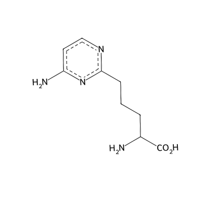 Nc1ccnc(CCCC(N)C(=O)O)n1